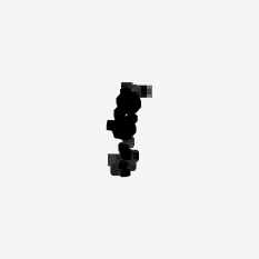 Cc1cc(OCC(=O)NS(C)(=O)=O)cc(C)c1Cc1ccc(O)c(C(C)C)c1